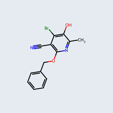 Cc1nc(OCc2ccccc2)c(C#N)c(Br)c1O